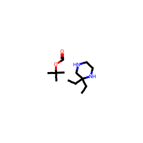 CC(C)(C)OC=O.CCC1(CC)CNCCN1